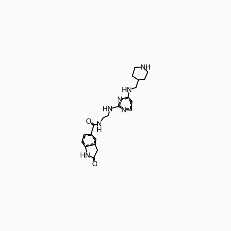 O=C1Cc2cc(C(=O)NCCNc3nccc(NCC4CCNCC4)n3)ccc2N1